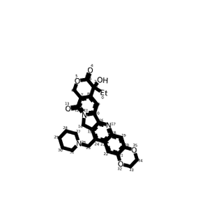 CCC1(O)C(=O)OCc2c1cc1n(c2=O)Cc2c-1nc1cc3c(cc1c2CN1CCCCC1)OCCO3